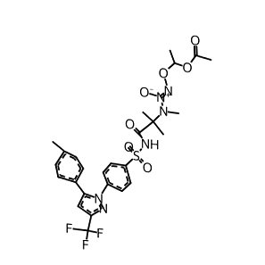 CC(=O)OC(C)ON=[N+]([O-])N(C)C(C)(C)C(=O)NS(=O)(=O)c1ccc(-n2nc(C(F)(F)F)cc2-c2ccc(C)cc2)cc1